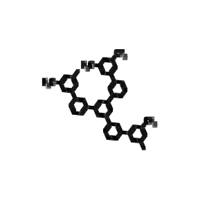 Cc1cc(-c2cccc(-c3cc(-c4cccc(-c5cc(C)cc(C(F)(F)F)c5)c4)cc(-c4cccc(-c5cc(C(F)(F)F)cc(C(F)(F)F)c5)c4)c3)c2)cc(C(F)(F)F)c1